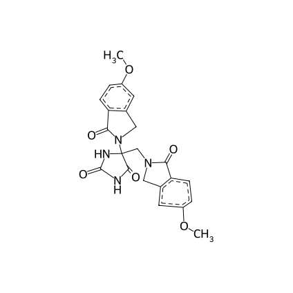 COc1ccc2c(c1)CN(CC1(N3Cc4cc(OC)ccc4C3=O)NC(=O)NC1=O)C2=O